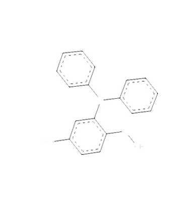 COc1ccc(O)cc1P(c1ccccc1)c1ccccc1